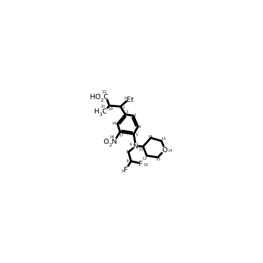 CCC(c1ccc(N(CC(F)F)C2CCOCC2)c([N+](=O)[O-])c1)C(C)C(=O)O